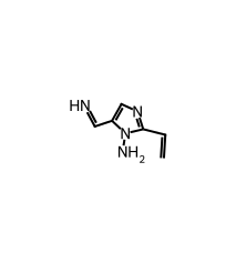 C=Cc1ncc(C=N)n1N